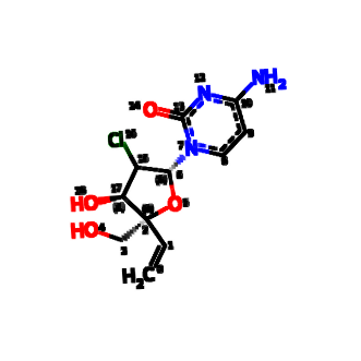 C=C[C@]1(CO)O[C@@H](n2ccc(N)nc2=O)C(Cl)[C@@H]1O